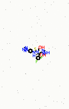 C[C@@H](N(CCO)C(=S)Nc1ccc(-n2ncnn2)cc1)[C@@](O)(Cc1nc[nH]n1)c1ccc(F)cc1F